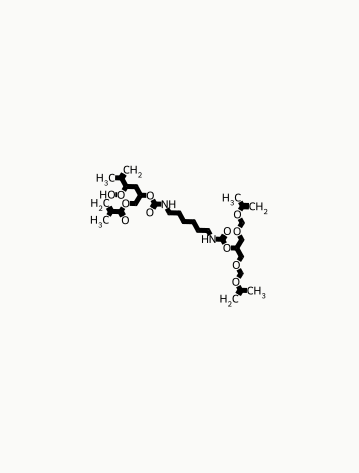 C=C(C)OCOCC(COCOC(=C)C)OC(=O)NCCCCCCNC(=O)OC(COC(=O)C(=C)C)CC(OO)C(=C)C